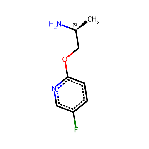 C[C@H](N)COc1ccc(F)cn1